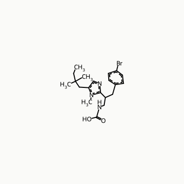 CCC(C)(C)Cc1cnc(C(CNC(=O)O)Cc2ccc(Br)cc2)n1C